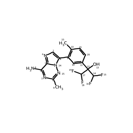 Cc1nc(N)c2ncc(-c3cc(C(O)(C(F)F)C(F)F)ccc3C)n2n1